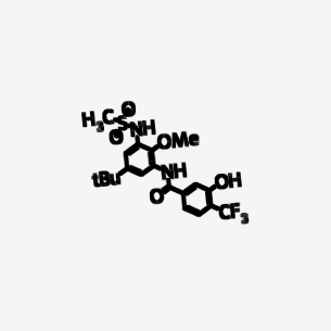 COc1c(NC(=O)c2ccc(C(F)(F)F)c(O)c2)cc(C(C)(C)C)cc1NS(C)(=O)=O